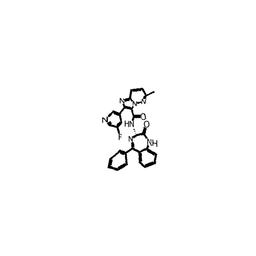 Cc1ccc2nc(-c3cncc(F)c3)c(C(=O)N[C@H]3N=C(c4ccccc4)c4ccccc4NC3=O)n2n1